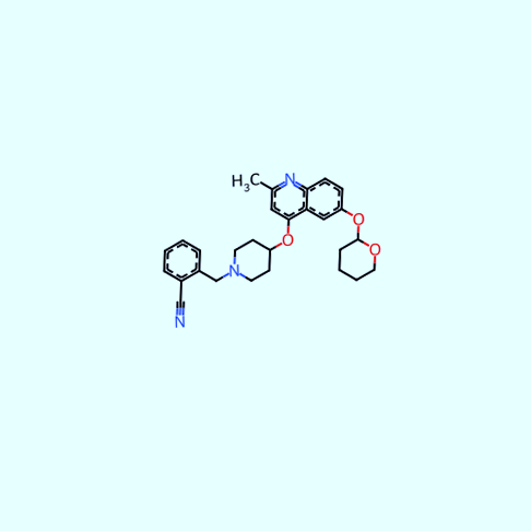 Cc1cc(OC2CCN(Cc3ccccc3C#N)CC2)c2cc(OC3CCCCO3)ccc2n1